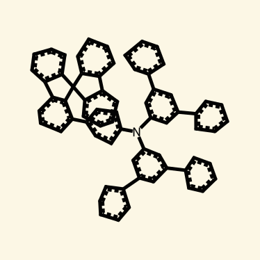 c1ccc(-c2cc(-c3ccccc3)cc(N(c3ccc(-c4cccc5c4C4(c6ccccc6-c6ccccc64)c4ccccc4-5)cc3)c3cc(-c4ccccc4)cc(-c4ccccc4)c3)c2)cc1